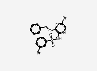 O=S(=O)(Nc1ncc(Br)nc1OCc1ccccc1)c1cccc(Br)c1